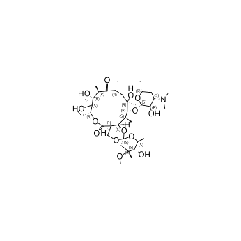 CC[C@H]1OC(=O)[C@@H]2CO[C@@]3(C[C@@](C)(OC)[C@@H](O)[C@H](C)O3)O[C@H]2[C@H](C)[C@@H](O[C@@H]2O[C@H](C)C[C@H](N(C)C)[C@H]2O)[C@](C)(O)C[C@@H](C)C(=O)[C@H](C)[C@@H](O)[C@]1(C)O